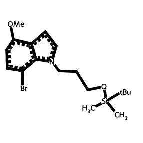 COc1ccc(Br)c2c1ccn2CCCO[Si](C)(C)C(C)(C)C